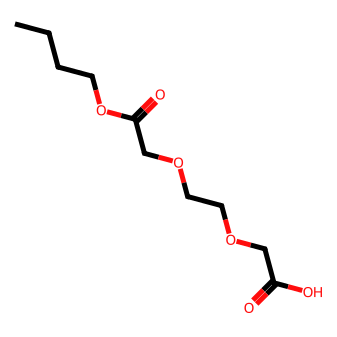 CCCCOC(=O)COCCOCC(=O)O